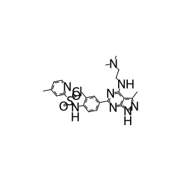 Cc1ccnc(S(=O)(=O)Nc2ccc(-c3nc(NCCN(C)C)c4c(C)n[nH]c4n3)cc2Cl)c1